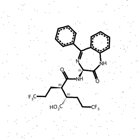 O=C1Nc2ccccc2C(c2ccccc2)=N[C@@H]1NC(=O)[C@H](CCC(F)(F)F)[C@H](CCC(F)(F)F)C(=O)O